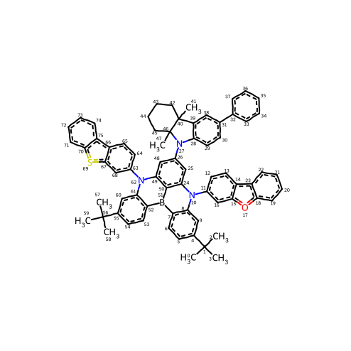 CC(C)(C)c1ccc2c(c1)N(c1ccc3c(c1)oc1ccccc13)c1cc(N3c4ccc(-c5ccccc5)cc4C4(C)CCCCC34C)cc3c1B2c1ccc(C(C)(C)C)cc1N3c1ccc2c(c1)sc1ccccc12